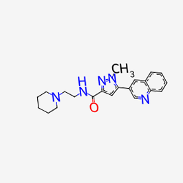 Cn1nc(C(=O)NCCN2CCCCC2)cc1-c1cnc2ccccc2c1